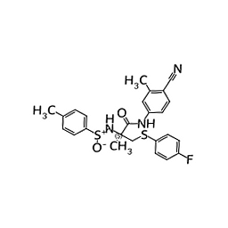 Cc1ccc([S+]([O-])N[C@](C)(CSc2ccc(F)cc2)C(=O)Nc2ccc(C#N)c(C)c2)cc1